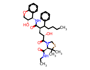 CCCCC(c1ccccc1)[C@@H](C[C@H](O)C(=O)N1CSC(C)(C)[C@H]1C(=O)NCC)C(=O)N[C@H]1c2ccccc2OC[C@H]1O